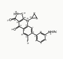 CC(=O)Nc1cccc(-c2cc3c(cc2F)c(=O)c2c(=O)[nH]sc2n3C2CC2)c1